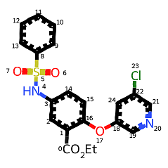 CCOC(=O)c1cc(NS(=O)(=O)c2ccccc2)ccc1Oc1cncc(Cl)c1